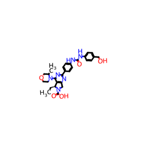 CC[C@H]1c2c(nc(-c3ccc(NC(=O)Nc4ccc(CO)cc4)cc3)nc2N2CCOCC2C)CN1C(=O)O